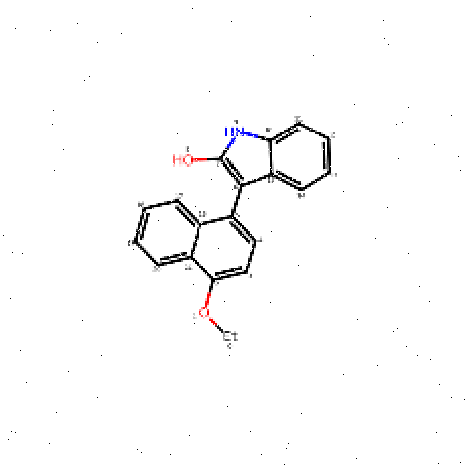 CCOc1ccc(-c2c(O)[nH]c3ccccc23)c2ccccc12